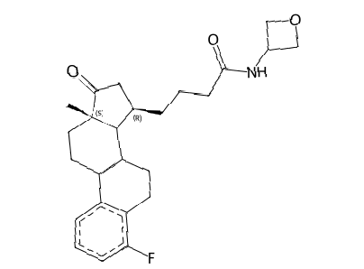 C[C@]12CCC3c4cccc(F)c4CCC3C1[C@H](CCCC(=O)NC1COC1)CC2=O